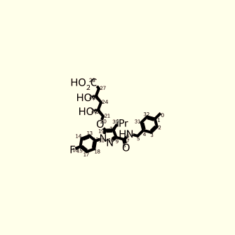 Cc1ccc(CNC(=O)c2nn(-c3ccc(F)cc3)c(OC[C@@H](O)C[C@@H](O)CC(=O)O)c2C(C)C)cc1